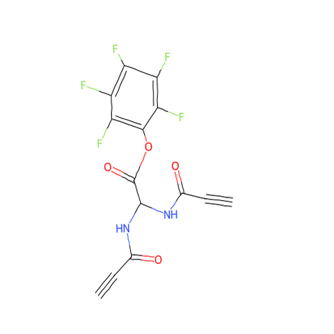 C#CC(=O)NC(NC(=O)C#C)C(=O)Oc1c(F)c(F)c(F)c(F)c1F